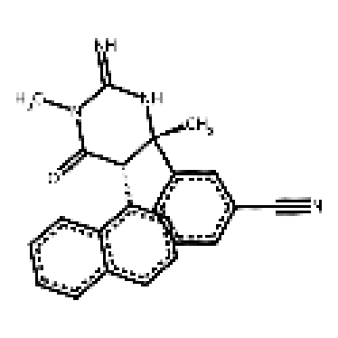 CN1C(=N)N[C@](C)(c2cccc(C#N)c2)[C@H](c2cccc3ccccc23)C1=O